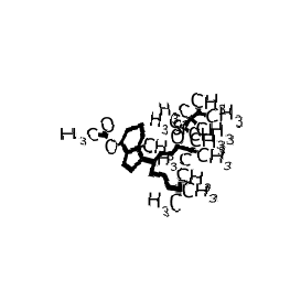 CC(=O)O[C@H]1CCC[C@]2(C)C(C(CCCC(C)(C)C)CCC(O[Si](C)(C)C(C)(C)C(C)C)C(C)(C)C)CCC12